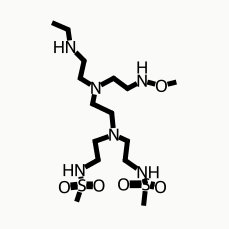 CCNCCN(CCNOC)CCN(CCNS(C)(=O)=O)CCNS(C)(=O)=O